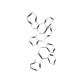 c1ccc(-c2c(N3c4ccccc4B4c5ccccc5N(c5oc6ccccc6c5-c5ccccc5)c5cccc3c54)oc3ccccc23)cc1